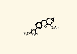 COC(C)C(=O)N(Cc1ccc(-c2noc(C(F)(F)F)n2)cc1)CC1CC1